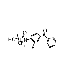 CC(O)(C(=O)Nc1ccc(C(=O)c2ccccc2)cc1F)C(F)(F)F